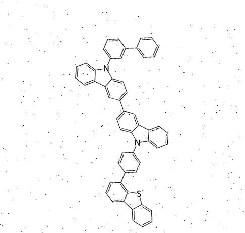 c1ccc(-c2cccc(-n3c4ccccc4c4cc(-c5ccc6c(c5)c5ccccc5n6-c5ccc(-c6cccc7c6sc6ccccc67)cc5)ccc43)c2)cc1